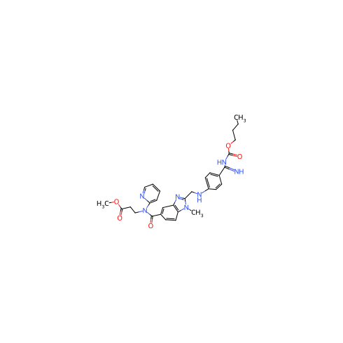 CCCCOC(=O)NC(=N)c1ccc(NCc2nc3cc(C(=O)N(CCC(=O)OC)c4ccccn4)ccc3n2C)cc1